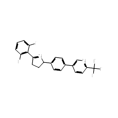 Fc1cccc(F)c1C1=NC(c2ccc(-c3ccc(C(F)(F)F)nc3)cc2)CC1